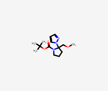 COCC1(n2cccn2)CCCN1C(=O)OC(C)(C)C